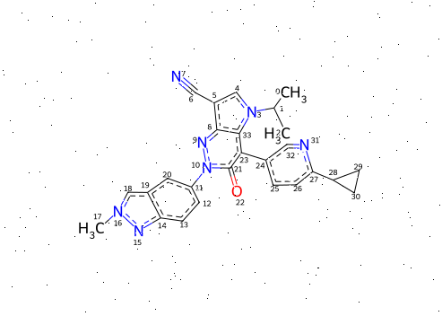 CC(C)n1cc(C#N)c2nn(-c3ccc4nn(C)cc4c3)c(=O)c(-c3ccc(C4CC4)nc3)c21